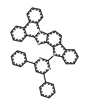 c1ccc(-c2cc(-c3ccccc3)nc(-n3c4ccccc4c4ccc5c(nc6c7ccccc7c7ccccc7n56)c43)n2)cc1